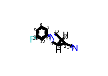 N#CC1[C@H]2CN(c3cccc(F)c3)C[C@@H]12